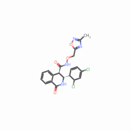 Cc1noc(CONC(=O)[C@@H]2c3ccccc3C(=O)N[C@H]2C2C=CC(Cl)=CC2Cl)n1